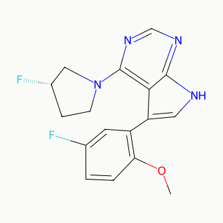 COc1ccc(F)cc1-c1c[nH]c2ncnc(N3CC[C@H](F)C3)c12